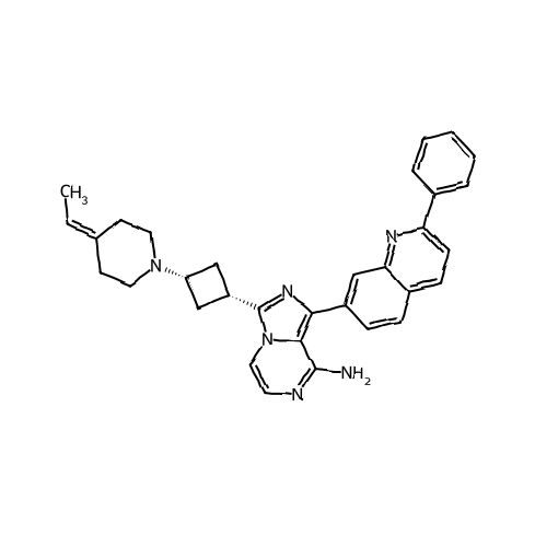 CC=C1CCN([C@H]2C[C@@H](c3nc(-c4ccc5ccc(-c6ccccc6)nc5c4)c4c(N)nccn43)C2)CC1